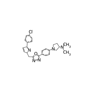 CN(C)C1CCN(c2ccc(-c3nnc(CC4C=CC(c5ccc(Cl)cc5)=N4)o3)cc2)C1